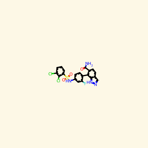 NC(=O)c1ccc2[c]n[nH]c2c1-c1ccc(NS(=O)(=O)c2cccc(Cl)c2Cl)cc1F